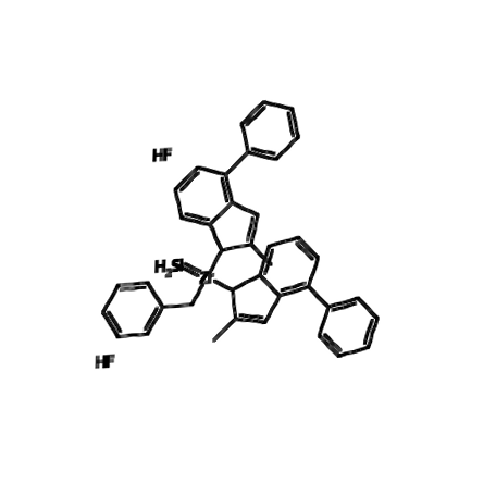 CC1=Cc2c(-c3ccccc3)cccc2[CH]1[Zr](=[SiH2])([CH2]c1ccccc1)[CH]1C(C)=Cc2c(-c3ccccc3)cccc21.F.F